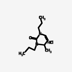 CCCN1C=CC(C)N(CCC)C1=O.Cl